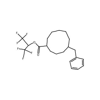 O=C(OC(C(F)(F)F)C(F)(F)F)C1CCCCCC(Cc2ccccc2)CCC1